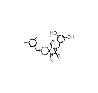 CCN1C(=O)N2Cc3cc(O)cc(O)c3[C@@H](C)C=C2C12CCN(Cc1cc(C)cc(C)c1)CC2